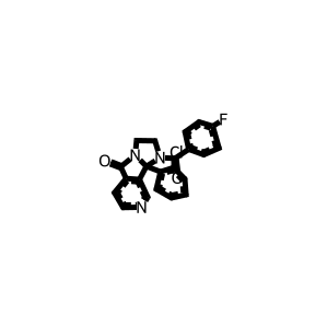 O=C(c1ccc(F)cc1)N1CCN2C(=O)c3ccncc3C12c1ccccc1Cl